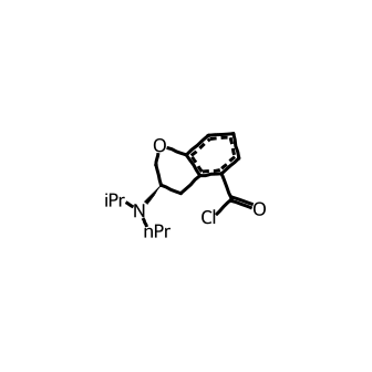 CCCN(C(C)C)[C@H]1COc2cccc(C(=O)Cl)c2C1